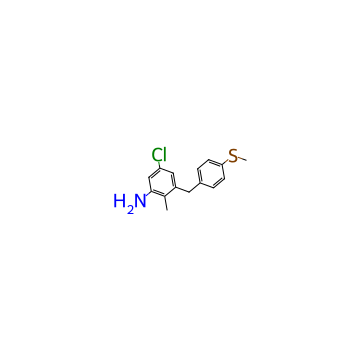 CSc1ccc(Cc2cc(Cl)cc(N)c2C)cc1